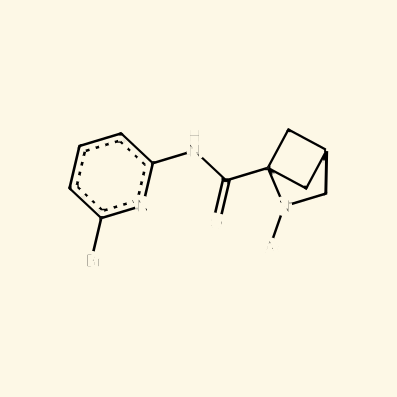 CC(=O)N1CC2CC1(C(=O)Nc1cccc(Br)n1)C2